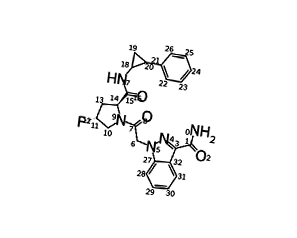 NC(=O)c1nn(CC(=O)N2C[C@H](F)C[C@H]2C(=O)NC2CC2c2ccccc2)c2ccccc12